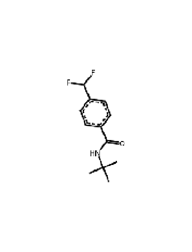 CC(C)(C)NC(=O)c1ccc(C(F)F)cc1